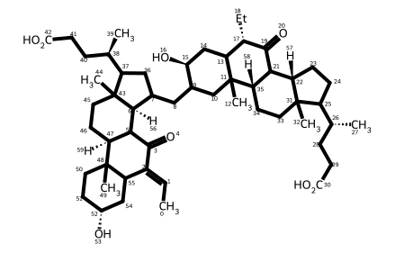 C/C=C1/C(=O)C2[C@@H]3C(CC4CC5(C)C(C[C@@H]4O)[C@H](CC)C(=O)C4[C@@H]6CCC([C@H](C)CCC(=O)O)C6(C)CC[C@@H]45)CC([C@H](C)CCC(=O)O)C3(C)CC[C@@H]2C2(C)CC[C@@H](O)CC12